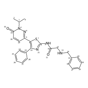 CC(C)n1nc(-c2sc(NC(=O)CNCc3ccccc3)nc2-c2ccccc2)ccc1=O